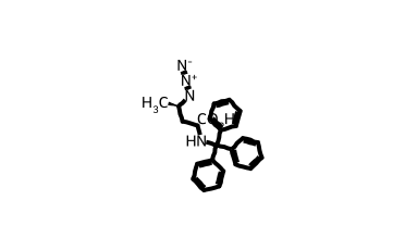 C[C@H](C[C@@H](NC(c1ccccc1)(c1ccccc1)c1ccccc1)C(=O)O)N=[N+]=[N-]